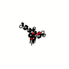 CCC(=O)N1CCC(N2C[C@@H](C(=O)N3C[C@H](COC)[C@@H](c4ccc(C(F)(F)F)cc4N4CCC(C(=O)OC)CC4)C3)[C@H](c3ccc(OC)cc3)C2)CC1